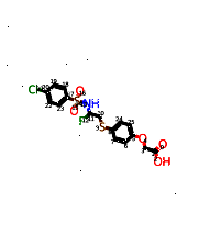 O=C(O)COc1ccc(SCC(F)NS(=O)(=O)c2ccc(Cl)cc2)cc1